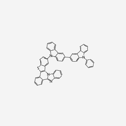 c1ccc(-n2c3ccccc3c3cc(-c4ccc5c(c4)c4ccccc4n5-c4ccc5sc6c7ccccc7c7nc8ccccc8n7c6c5c4)ccc32)cc1